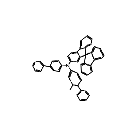 CC1C=C(N(c2ccc(-c3ccccc3)cc2)c2ccc3c(c2)C2(c4ccccc4-c4ccccc42)c2ccccc2-3)C=CC1c1ccccc1